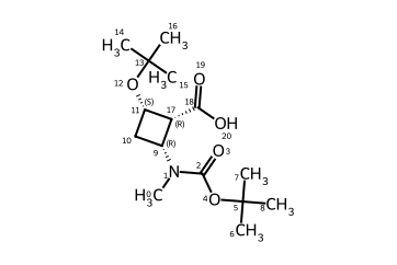 CN(C(=O)OC(C)(C)C)[C@@H]1C[C@H](OC(C)(C)C)[C@@H]1C(=O)O